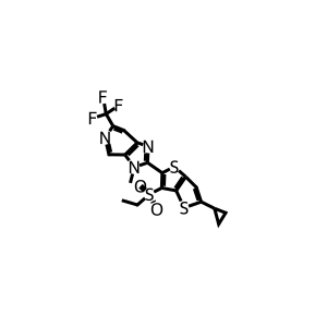 CCS(=O)(=O)c1c(-c2nc3cc(C(F)(F)F)ncc3n2C)sc2cc(C3CC3)sc12